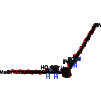 COCCOCCOCCOCCOCCOCCOCCOCCOCCOCC(=O)NCCCC[C@H](NC(=O)CCCNC(=O)[C@H]([C@@H](C(=O)NCCCC(=O)N[C@@H](CCCCNC(=O)COCCOCCOCCOCCOCCOCCOCCOCCOCCOC)C(=O)N[C@H](C(=O)O)C(C)C)N1C(=O)C=CC1=O)N1C(=O)C=CC1=O)C(=O)N[C@H](C(=O)O)C(C)C